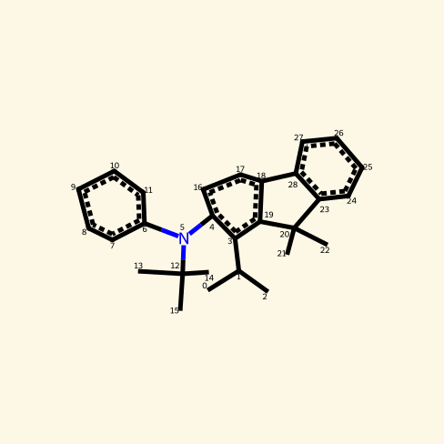 CC(C)c1c(N(c2ccccc2)C(C)(C)C)ccc2c1C(C)(C)c1ccccc1-2